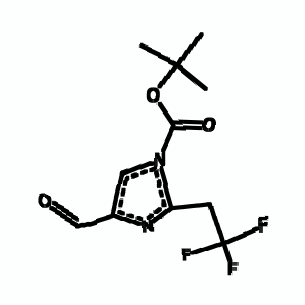 CC(C)(C)OC(=O)n1cc(C=O)nc1CC(F)(F)F